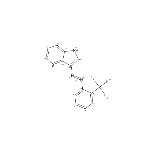 FC(F)(F)c1ccccc1/N=N/c1c[nH]c2ccccc12